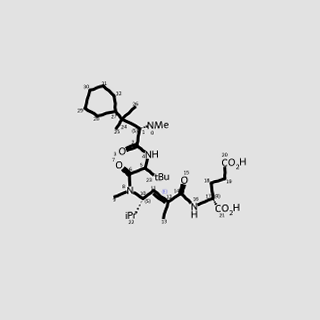 CN[C@H](C(=O)NC(C(=O)N(C)[C@H](/C=C(\C)C(=O)N[C@H](CCC(=O)O)C(=O)O)C(C)C)C(C)(C)C)C(C)(C)C1CCCCC1